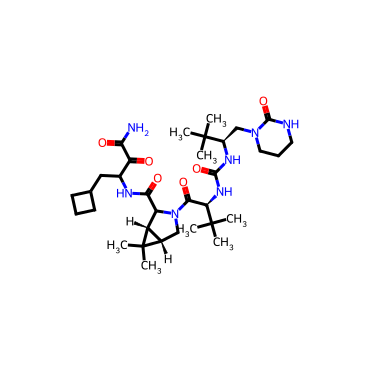 CC(C)(C)[C@H](NC(=O)N[C@H](CN1CCCNC1=O)C(C)(C)C)C(=O)N1C[C@H]2[C@@H](C1C(=O)NC(CC1CCC1)C(=O)C(N)=O)C2(C)C